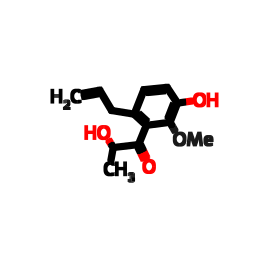 C=CCc1ccc(O)c(OC)c1C(=O)C(C)O